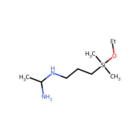 CCO[Si](C)(C)CCCNC(C)N